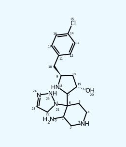 NC1CNCCC1(C1N[C@@H](Cc2ccc(Cl)cc2)C[C@@H]1O)N1CC=NN1